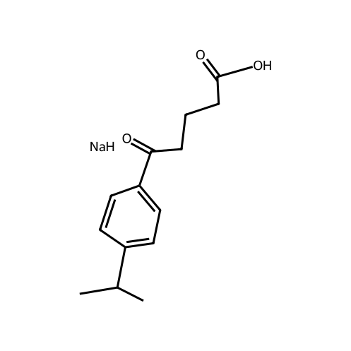 CC(C)c1ccc(C(=O)CCCC(=O)O)cc1.[NaH]